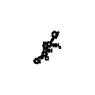 CN1CCCC(C)(C#Cc2cc3ncnc(Nc4ccc(OCc5ccccn5)c(Cl)c4)c3cc2N)C1